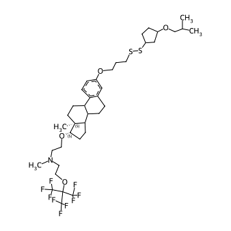 CC(C)COC1CCC(SSCCCOc2ccc3c(c2)CCC2C3CC[C@@]3(C)C2CC[C@@H]3OCCN(C)CCOC(C(F)(F)F)(C(F)(F)F)C(F)(F)F)C1